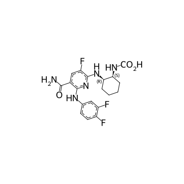 NC(=O)c1cc(F)c(N[C@@H]2CCCC[C@@H]2NC(=O)O)nc1Nc1ccc(F)c(F)c1